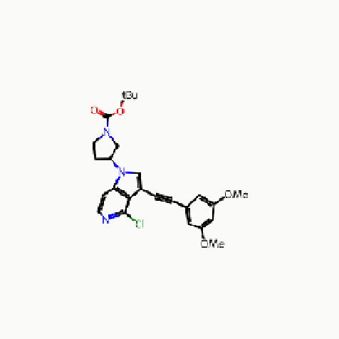 COc1cc(C#Cc2cn([C@H]3CCN(C(=O)OC(C)(C)C)C3)c3ccnc(Cl)c23)cc(OC)c1